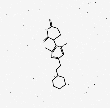 O=C1CCC(c2c(F)cc(CCC3CCCCC3)cc2F)C(=O)N1